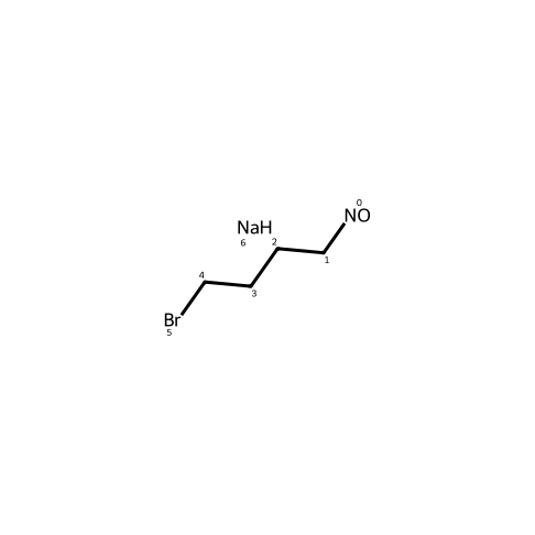 O=NCCCCBr.[NaH]